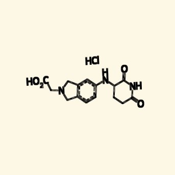 Cl.O=C(O)CN1Cc2ccc(NC3CCC(=O)NC3=O)cc2C1